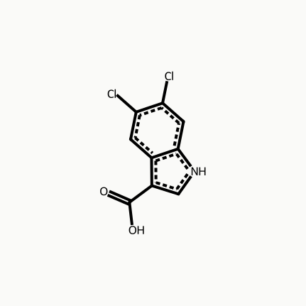 O=C(O)c1c[nH]c2cc(Cl)c(Cl)cc12